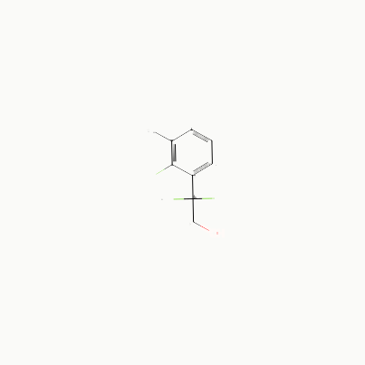 CC(C)(C)c1cccc(C(F)(F)CO)c1F